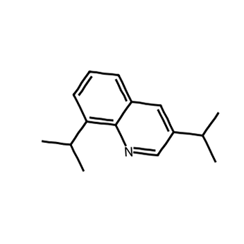 CC(C)c1cnc2c(C(C)C)cccc2c1